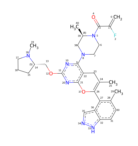 C=C(F)C(=O)N1CCN(c2nc(OC[C@@H]3CCCN3C)nc3c2CC(C)=C(c2c(C)ccc4[nH]ncc24)O3)C[C@H]1C